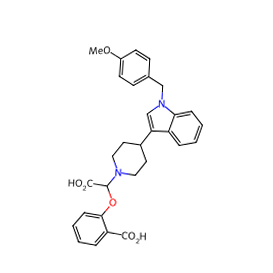 COc1ccc(Cn2cc(C3CCN(C(Oc4ccccc4C(=O)O)C(=O)O)CC3)c3ccccc32)cc1